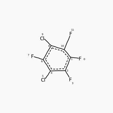 Fc1c(F)c(Cl)c(F)c(Cl)c1F